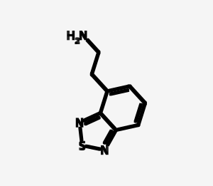 NCCc1cccc2nsnc12